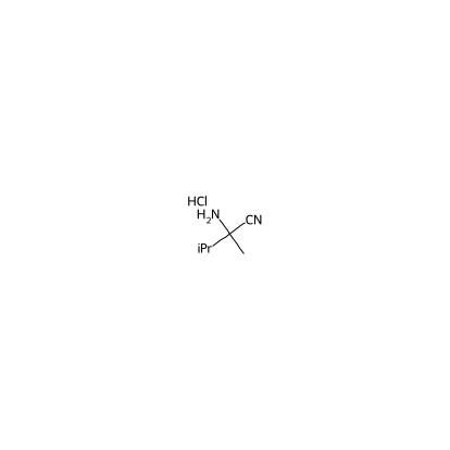 CC(C)C(C)(N)C#N.Cl